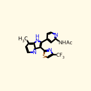 CC(=O)Nc1cc(-c2[nH]c3c(C)ccnc3c2-c2nc(C(F)(F)F)cs2)ccn1